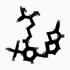 CC(=O)N(C)CCCNc1nc(Nc2ccc3c(c2)CC(=O)N3)ncc1C(F)(F)F